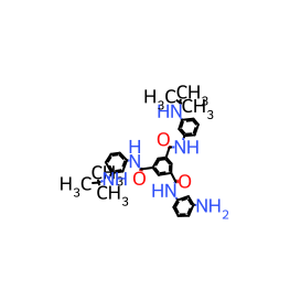 CC(C)(C)Nc1cccc(NC(=O)c2cc(C(=O)Nc3cccc(N)c3)cc(C(=O)Nc3cccc(NC(C)(C)C)c3)c2)c1